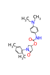 CCN(CC)c1ccc(NC(=O)OC2CC(=O)N(c3cc(C)ccc3C)C2)cc1